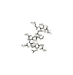 CC[C@H](C)[C@H](NC(=O)[C@H](CCCCN)NC(=O)[C@@H](NC(=O)[C@H](C)N)[C@@H](C)O)C(=O)N[C@@H](CC(=O)O)C(=O)N[C@@H](CC(N)=O)C(=O)N[C@@H](CC(C)C)C(=O)N[C@@H](CC(=O)O)C(=O)O